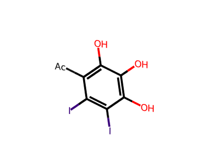 CC(=O)c1c(O)c(O)c(O)c(I)c1I